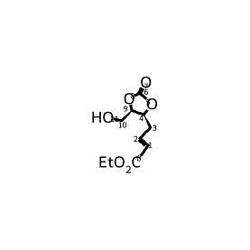 CCOC(=O)/C=C/C[C@@H]1OC(=O)O[C@@H]1CO